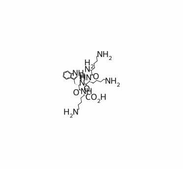 NCCCC[C@H](NC(=O)[C@H](Cc1c[nH]c2ccccc12)NC(=O)[C@H](CCCCN)NC(=O)[C@@H](N)CCCCN)C(=O)O